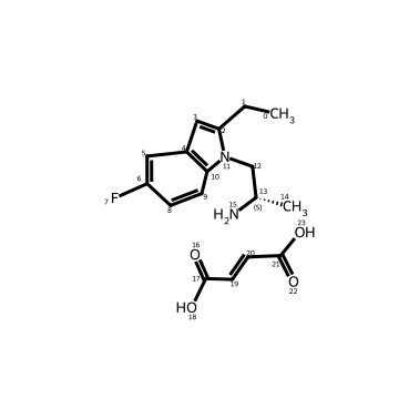 CCc1cc2cc(F)ccc2n1C[C@H](C)N.O=C(O)C=CC(=O)O